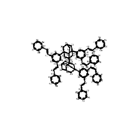 C(=Cc1cc(C=Cc2ccccc2)cc(C23CC4CC(C2)CC(C25CC6CC(c7cc(C=Cc8ccccc8)cc(C=Cc8ccccc8)c7)(CC(c7cc(C=Cc8ccccc8)cc(C=Cc8ccccc8)c7)(C6)C2)C5)(C4)C3)c1)c1ccccc1